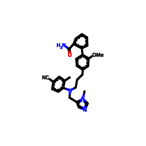 COc1cc(CCCN(Cc2cncn2C)c2ccc(C#N)cc2C)ccc1-c1ccccc1C(N)=O